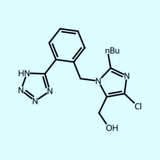 CCCCc1nc(Cl)c(CO)n1Cc1ccccc1-c1nnn[nH]1